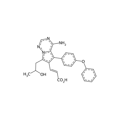 CC(O)Cc1c(C=CC(=O)O)c(-c2ccc(Oc3ccccc3)cc2)c2c(N)ncnn12